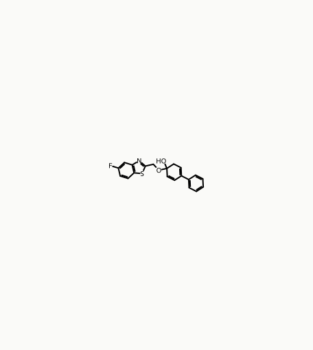 OC1(OCc2nc3cc(F)ccc3s2)C=CC(c2ccccc2)=CC1